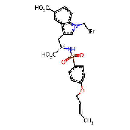 CC#CCOc1ccc(S(=O)(=O)N[C@@H](Cc2cn(CC(C)C)c3ccc(C(=O)O)cc23)C(=O)O)cc1